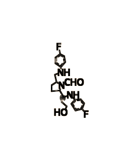 O=CN1C(CNc2ccc(F)cc2)CCC1[C@@H](CCO)Nc1ccc(F)cc1